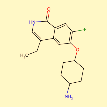 CCc1c[nH]c(=O)c2cc(F)c(OC3CCC(N)CC3)cc12